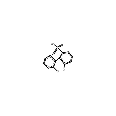 O=S(=O)(O)c1cccc(Cl)c1-c1ccccc1Cl